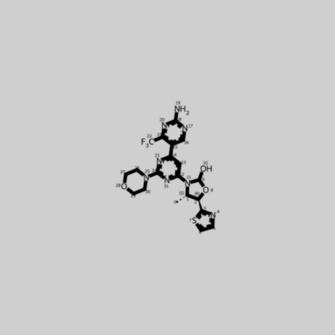 C[C@H]1[C@H](c2nccs2)OC(O)N1c1cc(-c2cnc(N)nc2C(F)(F)F)nc(N2CCOCC2)n1